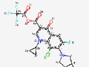 NC12CCC1CN(c1c(F)cc3c(=O)c(C(=O)OC(=O)C(F)(F)F)cn(C4CC4)c3c1Cl)C2